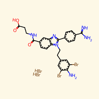 Br.Br.N=C(N)c1ccc(-c2nc3cc(C(=O)NCCC(=O)O)ccc3n2CCc2cc(Br)c(N)c(Br)c2)cc1